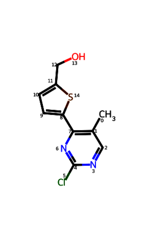 Cc1cnc(Cl)nc1-c1ccc(CO)s1